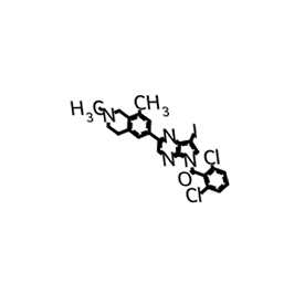 Cc1cc(-c2cnc3c(n2)c(I)cn3C(=O)c2c(Cl)cccc2Cl)cc2c1CN(C)CC2